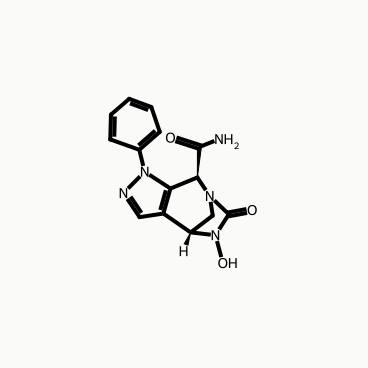 NC(=O)[C@@H]1c2c(cnn2-c2ccccc2)[C@@H]2CN1C(=O)N2O